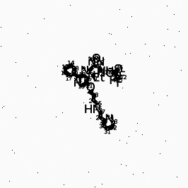 CCn1c(-c2nonc2N)nc2c(-c3ccccc3)ncc(OCCCCNCCc3ccccn3)c21.O=C(O)C(F)(F)F